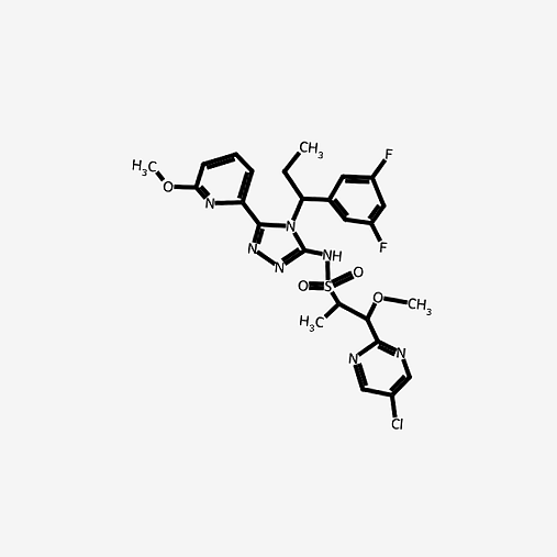 CCC(c1cc(F)cc(F)c1)n1c(NS(=O)(=O)C(C)C(OC)c2ncc(Cl)cn2)nnc1-c1cccc(OC)n1